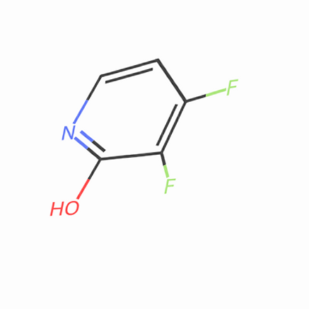 Oc1nccc(F)c1F